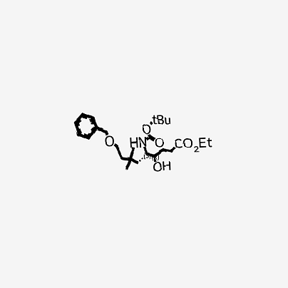 CCOC(=O)CC[C@@H](O)[C@H](CC(C)(C)CCOCc1ccccc1)NC(=O)OC(C)(C)C